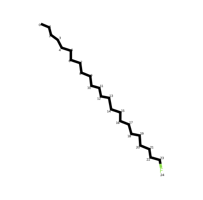 CCCCCCCCCCCCCCCCCCCCCCCCF